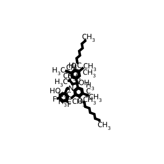 CCCCCCCCOc1c(C(C)(C)C)cc(C(O)(c2cc(C(C)(C)C)c(OCCCCCCCC)c(C(C)(C)C)c2)C(N=Cc2cc(F)cc(F)c2O)C(C)C)cc1C(C)(C)C